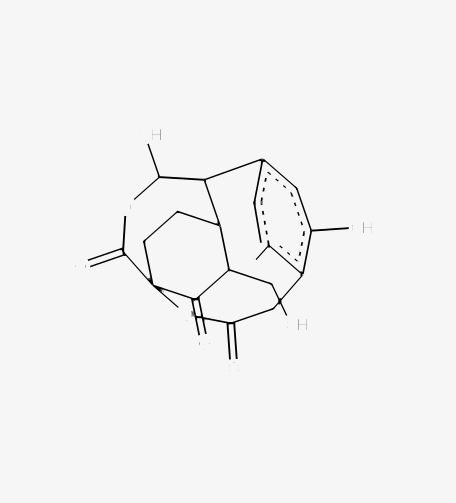 CCC1C(=O)C23CCC1C(c1cc(C)c(c(Cl)c1)CC(=O)O2)C(C)OC3=O